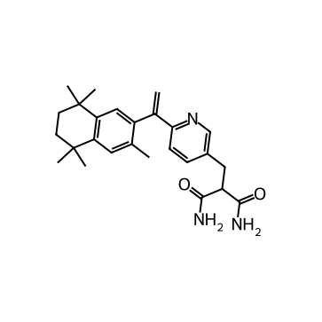 C=C(c1ccc(CC(C(N)=O)C(N)=O)cn1)c1cc2c(cc1C)C(C)(C)CCC2(C)C